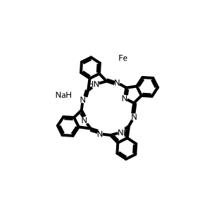 [Fe].[NaH].c1ccc2c(c1)-c1nc-2nc2[nH]c(nc3nc(nc4[nH]c(n1)c1ccccc41)-c1ccccc1-3)c1ccccc21